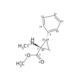 CN[C@]1(C(=O)OC)C[C@H]1c1ccccc1